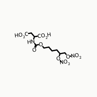 O=C(O)CC(NC(=O)OCCCCC(CO[N+](=O)[O-])O[N+](=O)[O-])C(=O)O